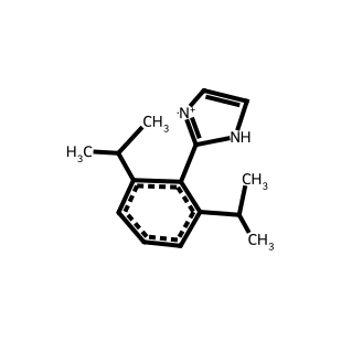 CC(C)c1cccc(C(C)C)c1C1=[N+]C=CN1